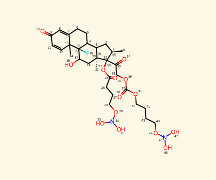 C[C@@H]1CC2C3CCC4=CC(=O)C=CC4(C)[C@@]3(F)C(O)C[C@]2(C)[C@@]1(OC(=O)CCCON(O)O)C(=O)COC(=O)OCCCCON(O)O